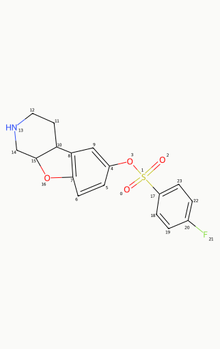 O=S(=O)(Oc1ccc2c(c1)C1CCNCC1O2)c1ccc(F)cc1